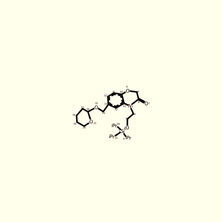 CC(C)[Si](OCCN1C(=O)COc2ccc(COC3CCCCO3)cc21)(C(C)C)C(C)C